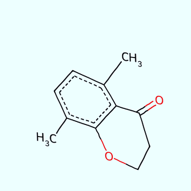 Cc1ccc(C)c2c1OCCC2=O